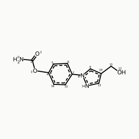 NC(=O)Oc1ccc(-n2cc(CO)cn2)cc1